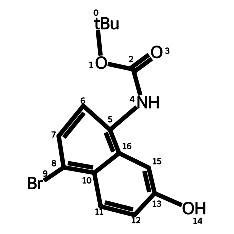 CC(C)(C)OC(=O)Nc1ccc(Br)c2ccc(O)cc12